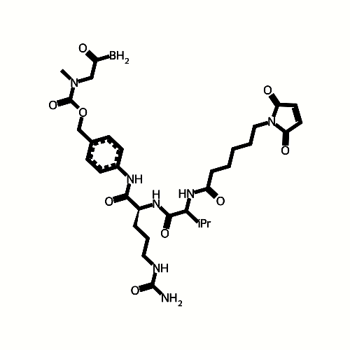 BC(=O)CN(C)C(=O)OCc1ccc(NC(=O)[C@H](CCCNC(N)=O)NC(=O)C(NC(=O)CCCCCN2C(=O)C=CC2=O)C(C)C)cc1